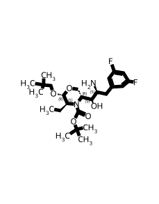 CC[C@H]1[C@H](OCC(C)(C)C)OC[C@H]([C@@H](O)[C@@H](N)Cc2cc(F)cc(F)c2)N1C(=O)OC(C)(C)C